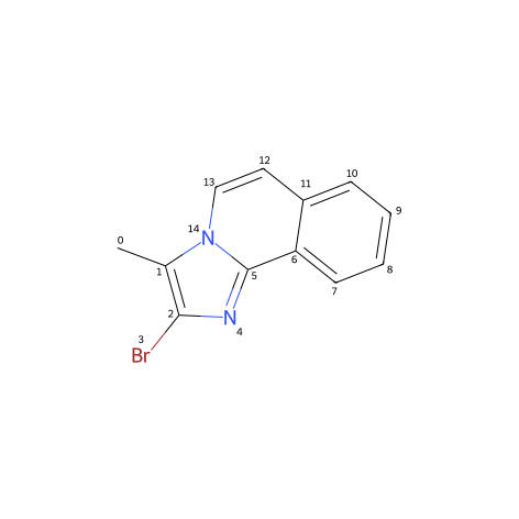 Cc1c(Br)nc2c3ccccc3ccn12